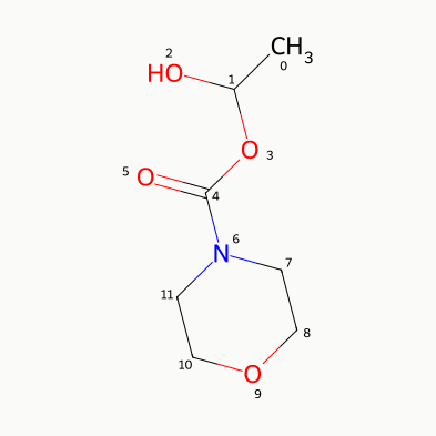 CC(O)OC(=O)N1CCOCC1